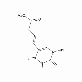 C=C1NC(=O)C(/C=C/CC(=O)OC)=CN1C(C)C